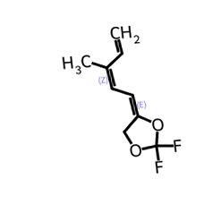 C=C/C(C)=C\C=C1/COC(F)(F)O1